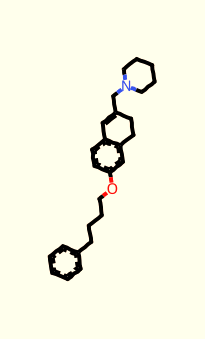 C1=C(CN2CCCCC2)CCc2cc(OCCCCc3ccccc3)ccc21